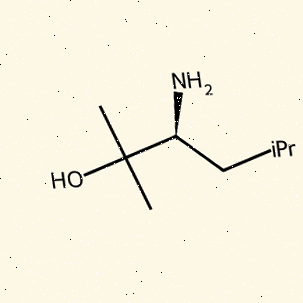 CC(C)C[C@H](N)C(C)(C)O